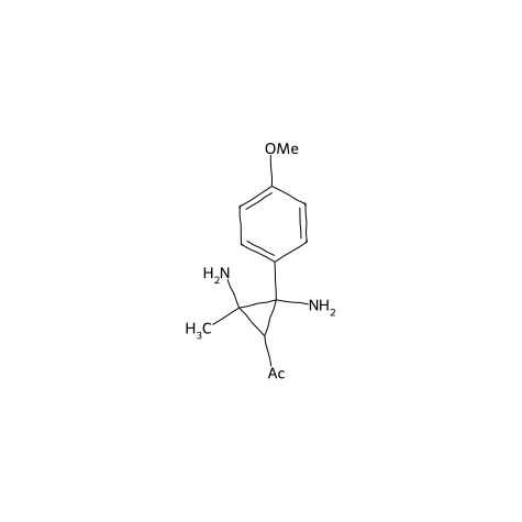 COc1ccc(C2(N)C(C(C)=O)C2(C)N)cc1